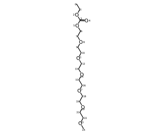 C[CH]OC(=O)OCCOCCOCCOCCOCCOCCOC